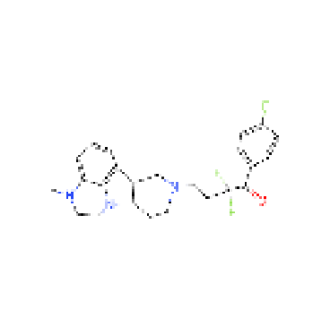 CN1CCN2c3c(cccc31)C1CN(CCC(F)(F)C(=O)c3ccc(F)cc3)CCC12